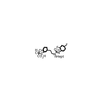 CCCCCCCN(CCc1cccc(SC(C)(C)C(=O)O)c1)C(=O)Nc1ccc(F)cc1F